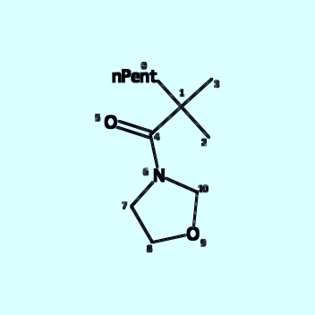 CCCCCC(C)(C)C(=O)N1CCOC1